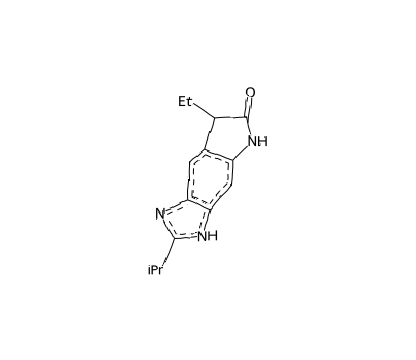 CCC1C(=O)Nc2cc3[nH]c(C(C)C)nc3cc21